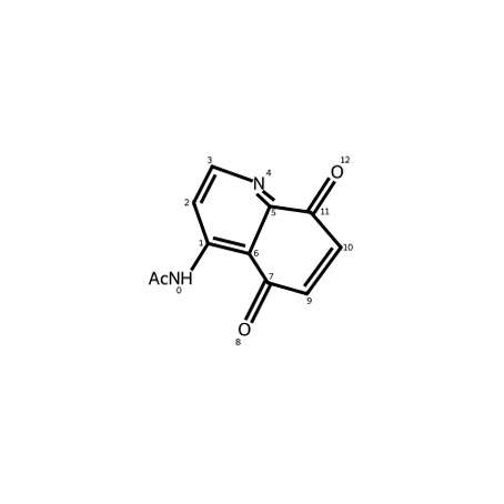 CC(=O)Nc1ccnc2c1C(=O)C=CC2=O